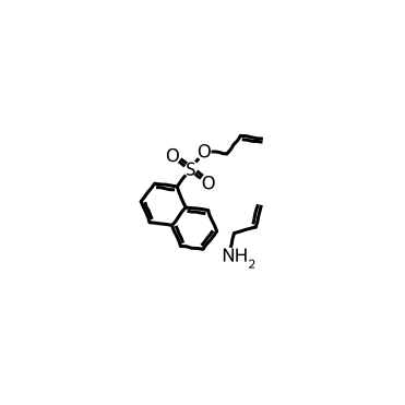 C=CCN.C=CCOS(=O)(=O)c1cccc2ccccc12